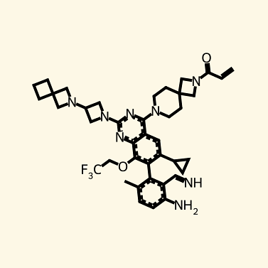 C=CC(=O)N1CC2(CCN(c3nc(N4CC(N5CC6(CCC6)C5)C4)nc4c(OCC(F)(F)F)c(-c5c(C)ccc(N)c5C=N)c(C5CC5)cc34)CC2)C1